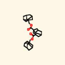 O=C(OCC12CC3CC(CC(C3)C1)C2)C12CC3CC(C1)CC(C(=O)OCC14CC5CC(CC(C5)C1)C4)(C3)C2